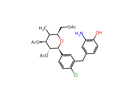 CC(=O)OC[C@H]1O[C@@H](c2ccc(Cl)c(Cc3ccc(O)c(N)c3)c2)[C@H](OC(C)=O)[C@@H](OC(C)=O)C1C